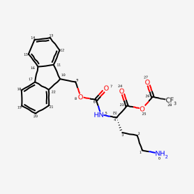 NCCC[C@H](NC(=O)OCC1c2ccccc2-c2ccccc21)C(=O)OC(=O)C(F)(F)F